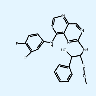 COCC(Nc1ncc2ncnc(Nc3ccc(F)c(Cl)c3)c2n1)C(O)c1ccccc1